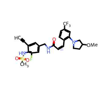 C#Cc1cc(CNC(=O)/C=C\c2ccc(C(F)(F)F)cc2N2CCC(OC)C2)cc(F)c1NS(C)(=O)=O